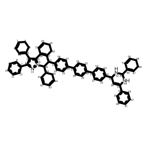 C1=CCCC(c2c(-c3ccccc3)nn3c2C2=C(CCC=C2)C(c2ccc(-c4ccc(-c5ccc(C6C=C(c7ccccc7)NC(C7=CCCC=C7)N6)cc5)cc4)cc2)C3C2C=CC=CC2)=C1